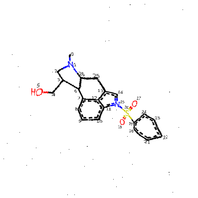 CN1CC(CO)C2c3cccc4c3c(cn4S(=O)(=O)c3ccccc3)CC21